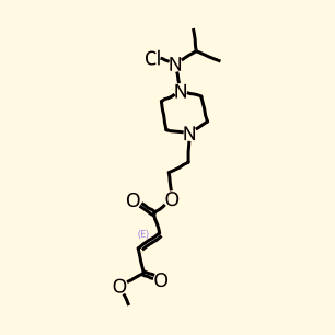 COC(=O)/C=C/C(=O)OCCN1CCN(N(Cl)C(C)C)CC1